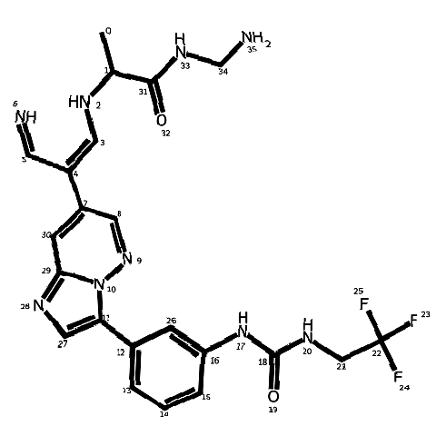 CC(N/C=C(\C=N)c1cnn2c(-c3cccc(NC(=O)NCC(F)(F)F)c3)cnc2c1)C(=O)NCN